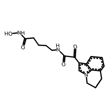 O=C(CCCCNC(=O)C(=O)c1cn2c3c(cccc13)CCC2)NO